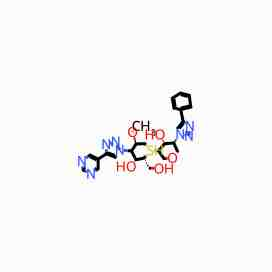 CO[C@H]1C[SH]([C@@H]2COC[C@H](n3cc(-c4ccccc4)nn3)[C@H]2O)[C@H](CO)[C@H](O)C1n1cc(-c2cncnc2)nn1